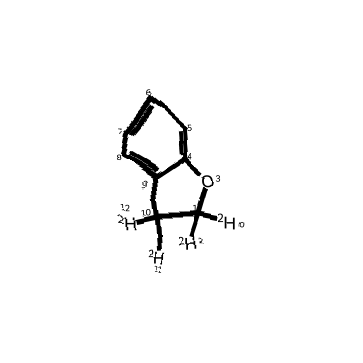 [2H]C1([2H])Oc2ccccc2C1([2H])[2H]